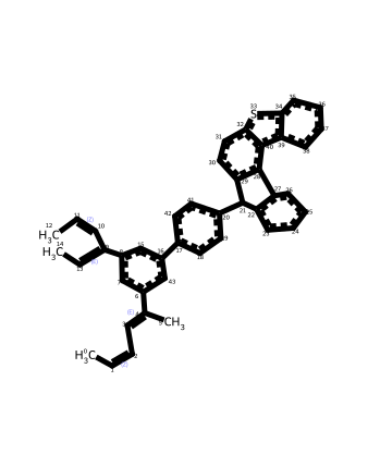 C/C=C\C=C(/C)c1cc(C(/C=C\C)=C/C)cc(-c2ccc(C3c4ccccc4-c4c3ccc3sc5ccccc5c43)cc2)c1